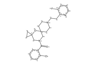 O=C(c1ccccc1Cl)N1CC2(CCN(CCc3ncccc3F)CC2)OC2(CC2)C1